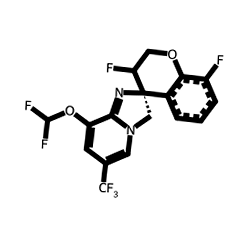 Fc1cccc2c1OCC(F)[C@@]21CN2C=C(C(F)(F)F)C=C(OC(F)F)C2=N1